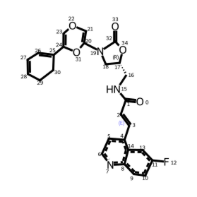 O=C(/C=C/c1ccnc2ccc(F)cc12)NC[C@@H]1CN(C2=COC=C(C3=CC=CCC3)O2)C(=O)O1